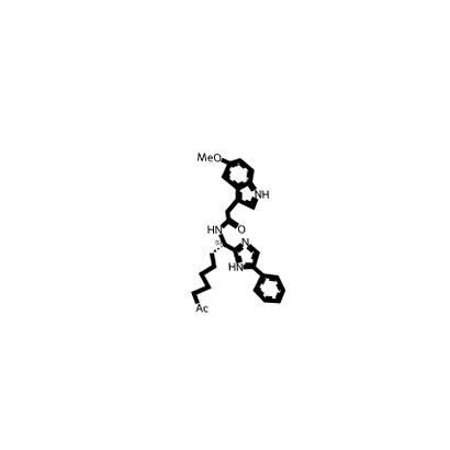 COc1ccc2[nH]cc(CC(=O)N[C@@H](CCCCCC(C)=O)c3ncc(-c4ccccc4)[nH]3)c2c1